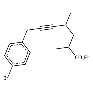 CCOC(=O)C(C)CC(C)C#CCc1ccc(Br)cc1